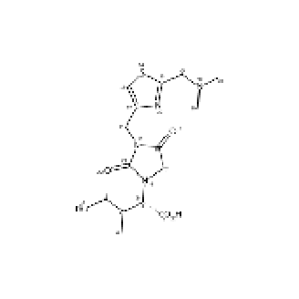 CC(CC(C)(C)C)[C@@H](C(=O)O)N1CC(=O)N(Cc2csc(CN(C)C)n2)C1=O